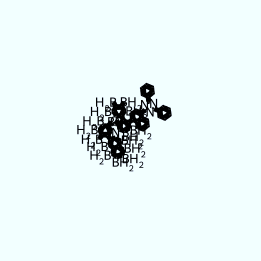 Bc1c(B)c(B)c2c(oc3c(-n4c5c(B)c(B)c(B)c(B)c5c5c(B)c6c(B)c(B)c(B)c(B)c6c(B)c54)c(B)c(B)c(-c4ccc(-c5nc(-c6ccccc6)nc(-c6ccccc6)n5)c5ccccc45)c32)c1B